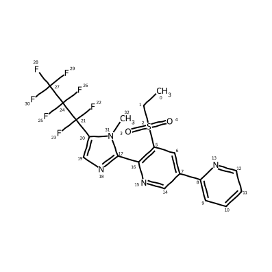 CCS(=O)(=O)c1cc(-c2ccccn2)cnc1-c1ncc(C(F)(F)C(F)(F)C(F)(F)F)n1C